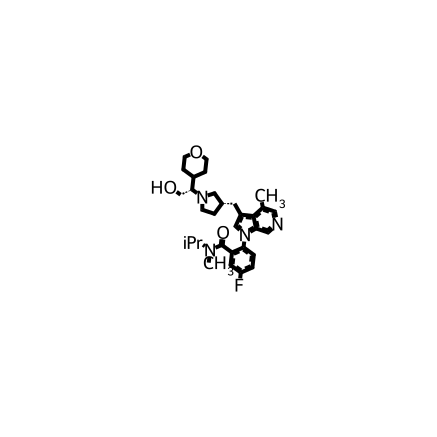 Cc1cncc2c1c(C[C@@H]1CCN([C@H](CO)C3CCOCC3)C1)cn2-c1ccc(F)cc1C(=O)N(C)C(C)C